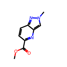 COC(=O)c1ccc2nn(C)cc2n1